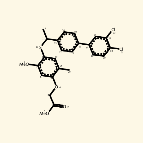 COC(=O)COc1cc(OC)c(SC(C)c2ccc(-c3ccc(Cl)c(Cl)c3)cc2)cc1C